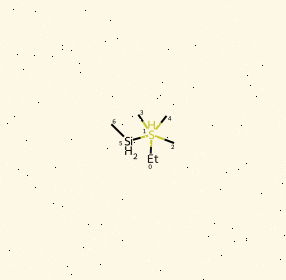 CC[SH](C)(C)(C)[SiH2]C